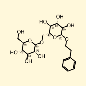 OC[C@H]1O[C@@H](OC[C@H]2O[C@H](OCCc3ccccc3)[C@H](O)[C@@H](O)[C@@H]2O)[C@H](O)[C@@H](O)[C@@H]1O